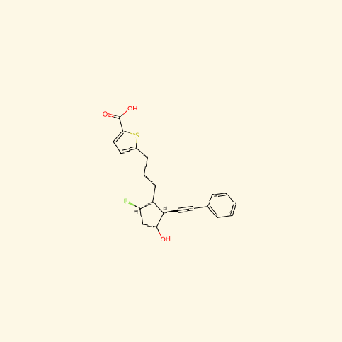 O=C(O)c1ccc(CCCC2[C@@H](C#Cc3ccccc3)C(O)C[C@H]2F)s1